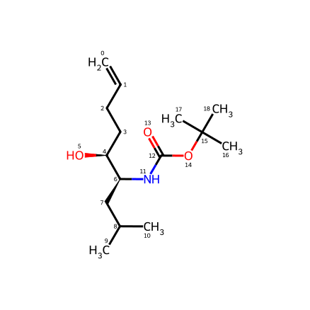 C=CCC[C@H](O)[C@H](CC(C)C)NC(=O)OC(C)(C)C